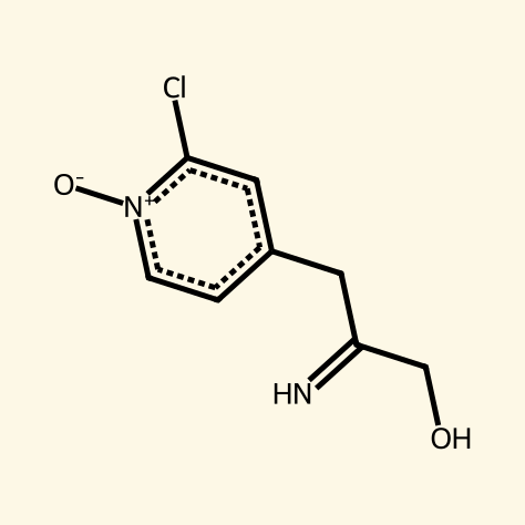 N=C(CO)Cc1cc[n+]([O-])c(Cl)c1